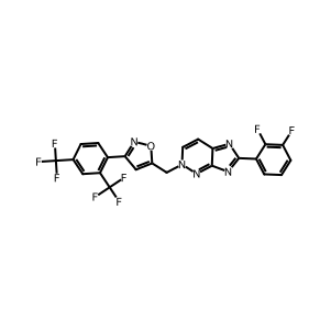 Fc1cccc(-c2nc3ccn(Cc4cc(-c5ccc(C(F)(F)F)cc5C(F)(F)F)no4)nc-3n2)c1F